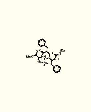 COC(=O)C(NC(=O)[C@H](Cc1ccccc1)C[C@H](O[Si](C)(C)C(C)(C)C)[C@H](Cc1ccccc1)NC(=O)OC(C)(C)C)C(C)C